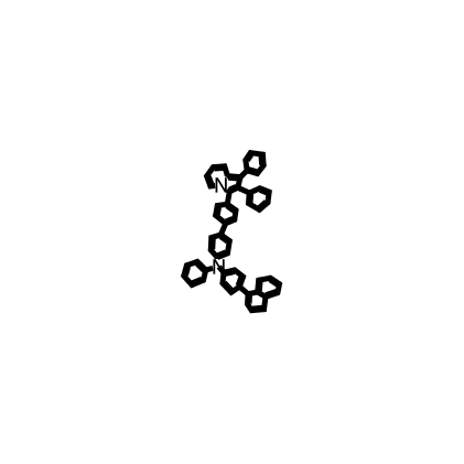 c1ccc(-c2c(-c3ccccc3)c3ccccn3c2-c2ccc(-c3ccc(N(c4ccccc4)c4ccc(-c5cccc6ccccc56)cc4)cc3)cc2)cc1